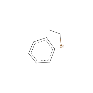 CCBr.c1ccccc1